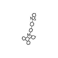 c1ccc2sc(-c3ccc(-c4ccc(-c5nc6c7ccccc7c7ccccc7c6c6ccccc56)cc4)cc3)nc2c1